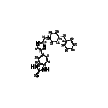 S=c1[nH]c2ccc(-c3cnc(CN4CCC(Cc5ccccc5)CC4)s3)cc2[nH]1